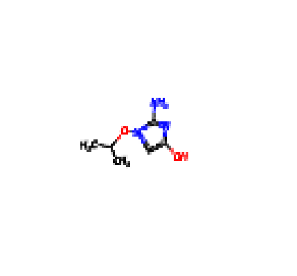 CC(C)On1cc(O)nc1N